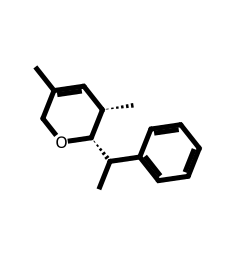 CC1=C[C@H](C)[C@H](C(C)c2ccccc2)OC1